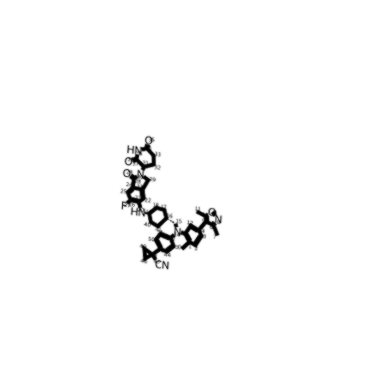 Cc1ccc(-c2c(C)noc2C)cc1N(C[C@H]1CC[C@H](Nc2cc3c(cc2F)C(=O)N(C2CCC(=O)NC2=O)C3)CC1)c1ccc(C2(C#N)CC2)cc1